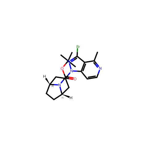 Cc1nccc2c1c(Br)nn2C1C[C@H]2CC[C@@H](C1)N2C(=O)OC(C)(C)C